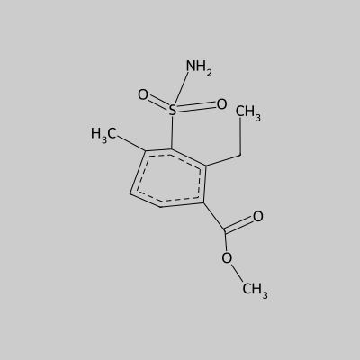 CCc1c(C(=O)OC)ccc(C)c1S(N)(=O)=O